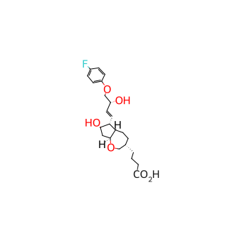 O=C(O)CCC[C@H]1CC[C@@H]2[C@@H](/C=C/[C@@H](O)COc3ccc(F)cc3)[C@H](O)C[C@@H]2OC1